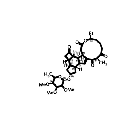 CC[C@H]1CCCC(=O)[C@@H](C)C(=O)C2=C[C@H]3[C@@H]4C[C@H](O[C@@H]5OC(C)[C@H](OC)C(OC)C5OC)C[C@H]4[C@@H]4CC(=O)[C@@H]4[C@H]3[C@@H]2CC(=O)O1